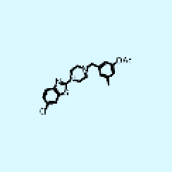 CC(=O)Oc1cc(C)cc(CN2CCN(c3nc4ccc(Cl)cc4s3)CC2)c1